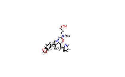 CCCCN(CCCO)C(=O)CN1CC(c2ccc3c(c2)OCO3)C(C(=O)O)C1CCc1ccccn1